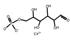 O=CC(O)C(O)C(O)C(O)COP(=O)([O-])[O-].[Ca+2]